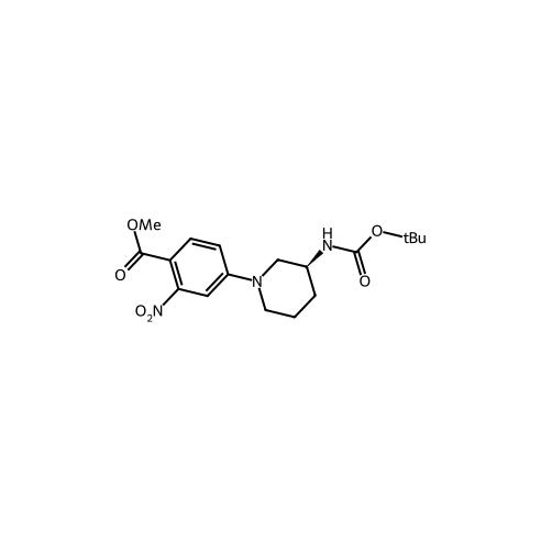 COC(=O)c1ccc(N2CCC[C@H](NC(=O)OC(C)(C)C)C2)cc1[N+](=O)[O-]